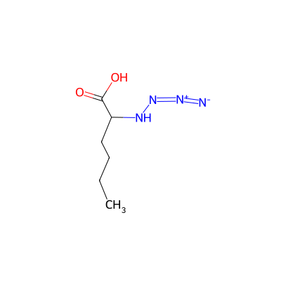 CCCCC(NN=[N+]=[N-])C(=O)O